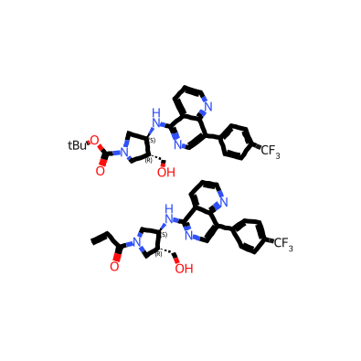 C=CC(=O)N1C[C@@H](CO)[C@H](Nc2ncc(-c3ccc(C(F)(F)F)cc3)c3ncccc23)C1.CC(C)(C)OC(=O)N1C[C@@H](CO)[C@H](Nc2ncc(-c3ccc(C(F)(F)F)cc3)c3ncccc23)C1